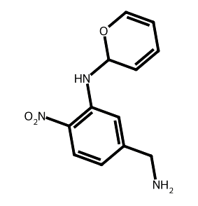 NCc1ccc([N+](=O)[O-])c(NC2C=CC=CO2)c1